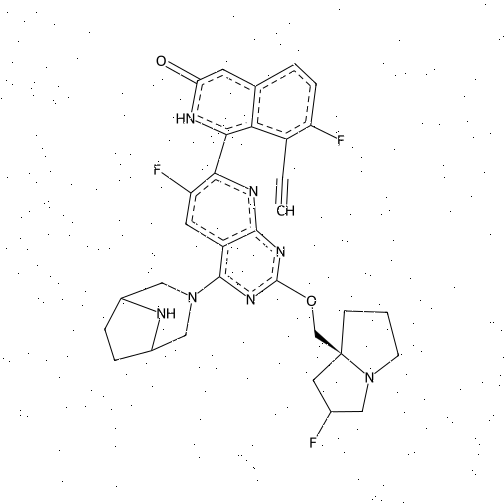 C#Cc1c(F)ccc2cc(=O)[nH]c(-c3nc4nc(OC[C@@]56CCCN5CC(F)C6)nc(N5CC6CCC(C5)N6)c4cc3F)c12